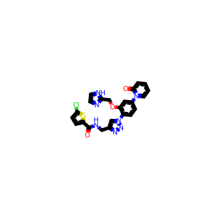 O=C(NCc1cn(-c2ccc(-n3ccccc3=O)cc2OCc2ncc[nH]2)nn1)c1ccc(Cl)s1